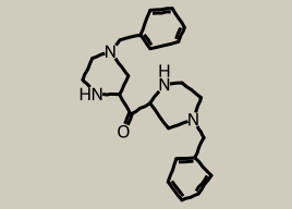 O=C(C1CN(Cc2ccccc2)CCN1)C1CN(Cc2ccccc2)CCN1